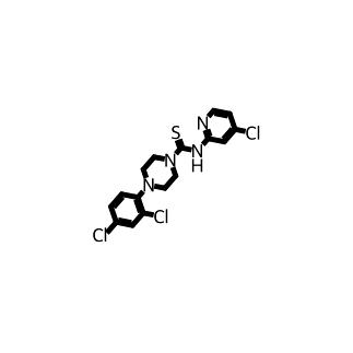 S=C(Nc1cc(Cl)ccn1)N1CCN(c2ccc(Cl)cc2Cl)CC1